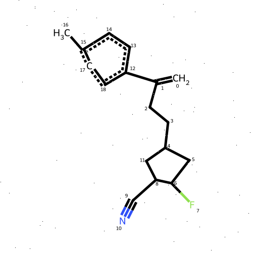 C=C(CCC1CC(F)C(C#N)C1)c1ccc(C)cc1